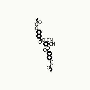 C=CC(=O)OCOc1ccc2cc(C(=O)Oc3ccc(OC(=O)c4ccc5cc(OCOC(=O)C=C)ccc5c4)c(C#N)c3C#N)ccc2c1